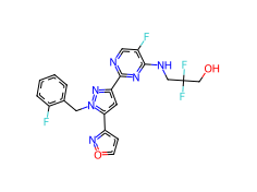 OCC(F)(F)CNc1nc(-c2cc(-c3ccon3)n(Cc3ccccc3F)n2)ncc1F